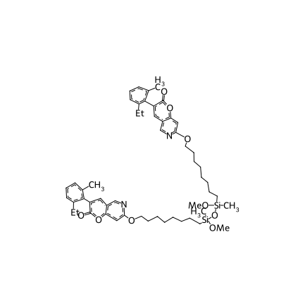 CCc1cccc(C)c1-c1cc2cnc(OCCCCCCCC[Si](C)(OC)O[Si](C)(CCCCCCCCOc3cc4oc(=O)c(-c5c(C)cccc5CC)cc4cn3)OC)cc2oc1=O